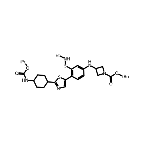 CCNSc1cc(NC2CN(C(=O)OC(C)(C)C)C2)ccc1-c1cnc(C2CCC(NC(=O)OC(C)C)CC2)s1